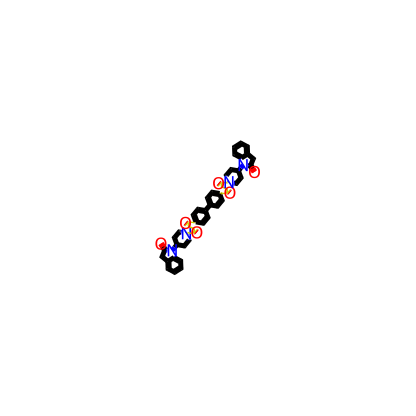 O=C1Cc2ccccc2N1C1CCN(S(=O)(=O)c2ccc(-c3ccc(S(=O)(=O)N4CCC(N5C(=O)Cc6ccccc65)CC4)cc3)cc2)CC1